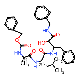 CC(C)C[C@H](NC(=O)[C@H](C)NC(=O)OCc1ccccc1)C(=O)NC(Cc1ccccc1)C(O)C(=O)NCc1ccccc1